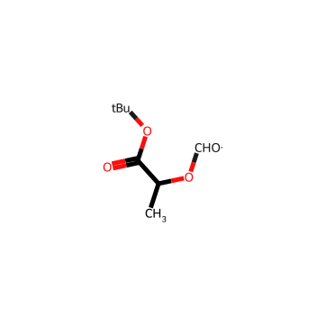 CC(O[C]=O)C(=O)OC(C)(C)C